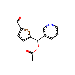 CC(=O)OC(c1cccnc1)c1ccc(C=O)s1